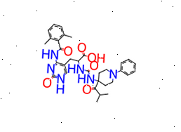 Cc1cccc(C)c1C(=O)Nc1nc(=O)[nH]cc1CC(NC(=O)NC1(C(=O)C(C)C)CCN(c2ccccc2)CC1)C(=O)O